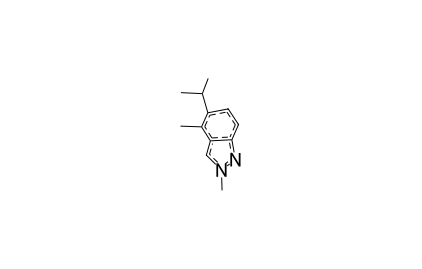 Cc1c(C(C)C)ccc2nn(C)cc12